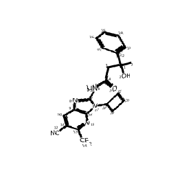 CC(O)(CC(=O)Nc1nc2cc(C#N)c(C(F)(F)F)nc2n1C1CCC1)c1ccccc1